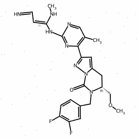 CN/C(=C\C=N)Nc1ncc(C)c(-c2cc3n(n2)C(=O)N(Cc2ccc(F)c(F)c2)[C@@H](COC)C3)n1